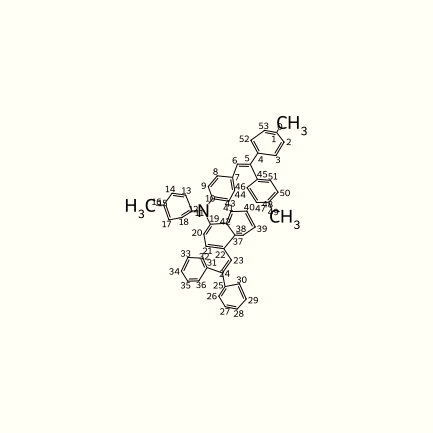 Cc1ccc(C(=Cc2ccc(N(c3ccc(C)cc3)c3ccc(C=C(c4ccccc4)c4ccccc4)c4ccccc34)cc2)c2ccc(C)cc2)cc1